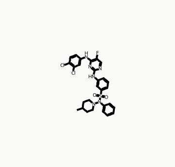 CC1CCN(N(c2ccccc2)S(=O)(=O)c2cccc(Nc3ncc(F)c(Nc4ccc(Cl)c(Cl)c4)n3)c2)CC1